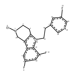 CCN1CCc2c(c3cc(F)cc(F)c3n2CCc2cncc(F)c2)C1